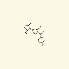 C[C@@H]1COC(=O)N1c1ccc(C(=O)N2CCNCC2)c(F)c1